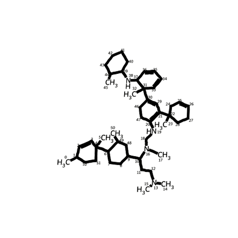 CC1C=CC(C)(C2CCC(C(CCN(C)C)N(C)CNC3=C(C4(C)CC=CCC4)C=C(C4(C)C=CC=CC4NC4CCCCC4C)CC3)CC2C)CC1